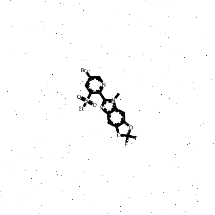 CCS(=O)(=O)c1cc(Br)cnc1-c1nc2cc3c(cc2n1C)OC(F)(F)O3